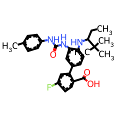 CCC(Nc1ccc(-c2cc(F)ccc2C(=O)O)cc1NC(=O)Nc1ccc(C)cc1)C(C)(C)C